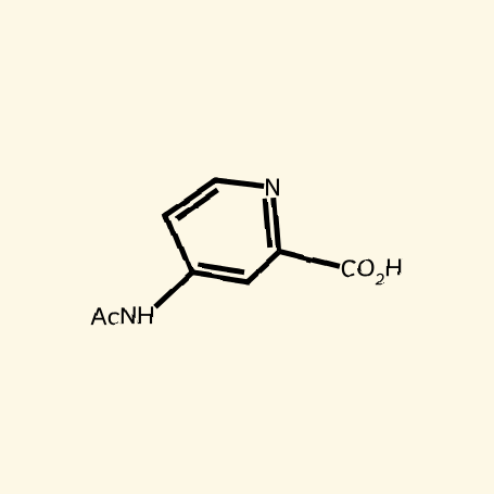 CC(=O)Nc1ccnc(C(=O)O)c1